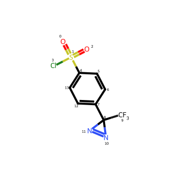 O=S(=O)(Cl)c1ccc(C2(C(F)(F)F)N=N2)cc1